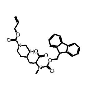 C=CCOC(=O)N1CCC(CC(C(=O)O)N(C)C(=O)OCC2c3ccccc3-c3ccccc32)CC1